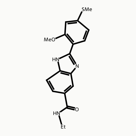 CCNC(=O)c1ccc2[nH]c(-c3ccc(SC)cc3OC)nc2c1